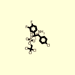 C[C@](NS(=O)(=O)OCC(Cl)(Cl)Cl)(c1ccc(F)c(F)c1)[C@H](N)c1ccc(Cl)cc1